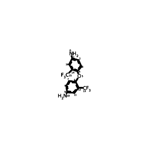 Nc1ccc(Oc2ccc(N)cc2C(F)(F)F)c(C(F)(F)F)c1